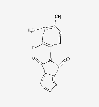 Cc1c(C#N)ccc(N2C(=O)c3ccccc3C2=O)c1F